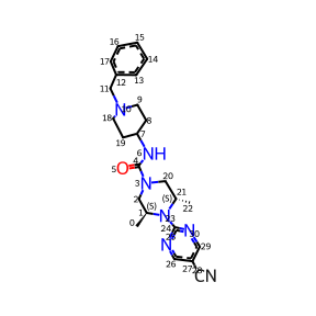 C[C@H]1CN(C(=O)NC2CCN(Cc3ccccc3)CC2)C[C@H](C)N1c1ncc(C#N)cn1